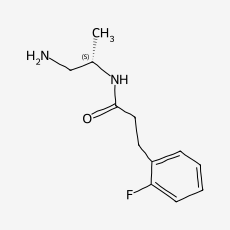 C[C@@H](CN)NC(=O)CCc1ccccc1F